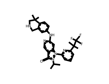 CC(C)n1c(=O)c2cnc(Nc3ccc4c(c3)CNCC4(C)C)cc2n1-c1cccc(C(C)(C)C(F)(F)F)n1